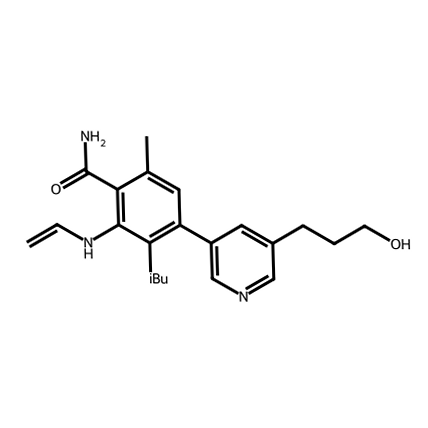 C=CNc1c(C(N)=O)c(C)cc(-c2cncc(CCCO)c2)c1C(C)CC